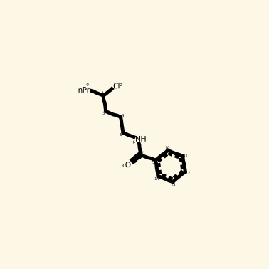 CCCC(Cl)CCCNC(=O)c1ccccc1